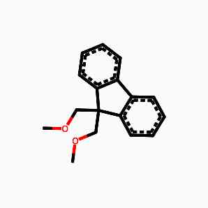 COCC1(COC)c2ccccc2-c2ccccc21